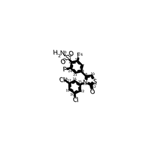 NS(=O)(=O)c1c(F)cc(-c2csc(=O)n2-c2cc(Cl)cc(Cl)c2)cc1F